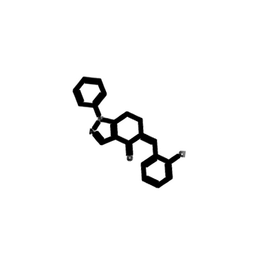 O=C1C(=Cc2ccccc2Cl)CCc2c1cnn2-c1ccccc1